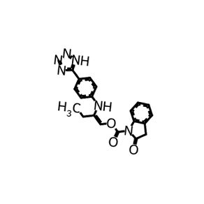 CCC(=COC(=O)N1C(=O)Cc2ccccc21)Nc1ccc(-c2nnn[nH]2)cc1